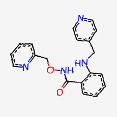 O=C(NOCc1ccccn1)c1ccccc1NCc1ccncc1